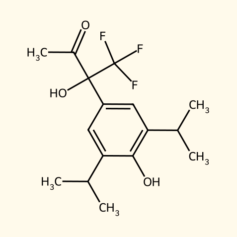 CC(=O)C(O)(c1cc(C(C)C)c(O)c(C(C)C)c1)C(F)(F)F